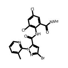 CNC(=O)c1cc(Cl)cc(Cl)c1NC(=O)c1cc(Br)nn1-c1ncccc1C